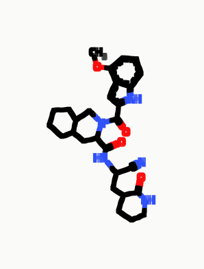 COc1cccc2[nH]c(C(=O)N3CC4CCCCC4CC3C(=O)NC(C#N)CC3CCCNC3=O)cc12